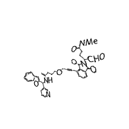 C=C(CCCOCC#Cc1cccc2c1C(=O)N(C(C=O)CCC(=O)NC)C2=O)NC(c1cccnc1)c1cc2ccccc2o1